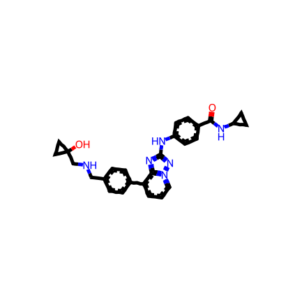 O=C(NC1CC1)c1ccc(Nc2nc3c(-c4ccc(CNCC5(O)CC5)cc4)cccn3n2)cc1